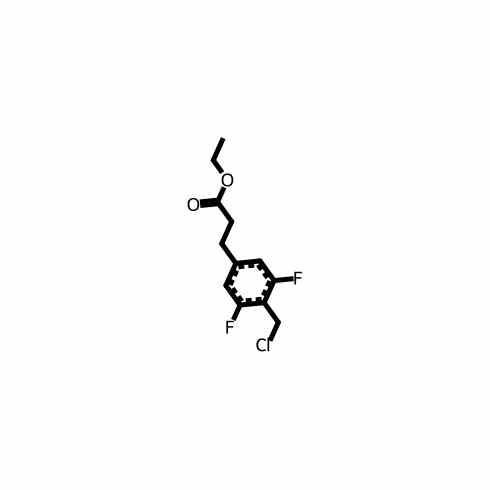 CCOC(=O)CCc1cc(F)c(CCl)c(F)c1